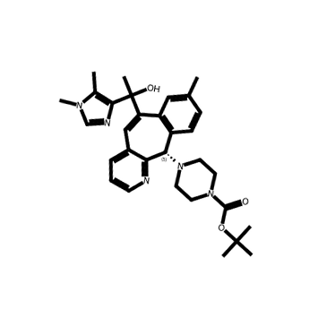 Cc1ccc2c(c1)C(C(C)(O)c1ncn(C)c1C)=Cc1cccnc1[C@H]2N1CCN(C(=O)OC(C)(C)C)CC1